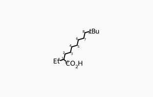 CCC(CCCCCCCC(C)(C)C)C(=O)O